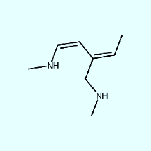 C/C=C(\C=C/NC)CNC